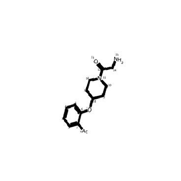 CC(=O)c1ccccc1OC1CCN(C(=O)CN)CC1